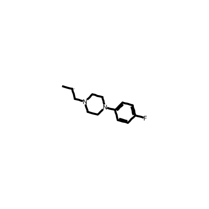 C[CH]CN1CCN(c2ccc(F)cc2)CC1